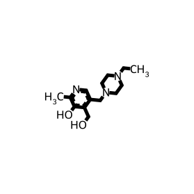 CCN1CCN(Cc2cnc(C)c(O)c2CO)CC1